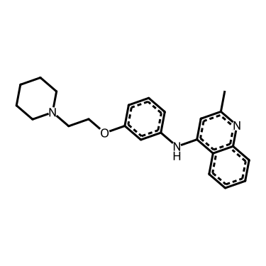 Cc1cc(Nc2cccc(OCCN3CCCCC3)c2)c2ccccc2n1